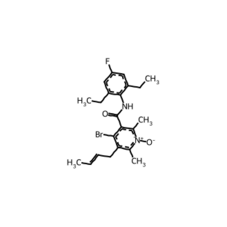 CC=CCc1c(Br)c(C(=O)Nc2c(CC)cc(F)cc2CC)c(C)[n+]([O-])c1C